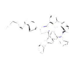 C=C(/C=C\C=C/C)c1ccc(-c2nc(-c3cccc4c3sc3ccccc34)nc(-c3cccc4c5ccccc5n(-c5cccc6c7ccccc7n(-c7ccccc7)c56)c34)n2)cc1